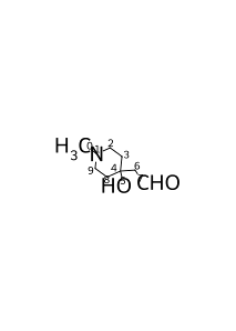 CN1CCC(O)(CC=O)CC1